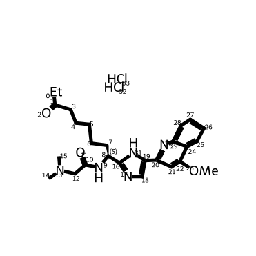 CCC(=O)CCCCC[C@H](NC(=O)CN(C)C)c1ncc(-c2cc(OC)c3ccccc3n2)[nH]1.Cl.Cl